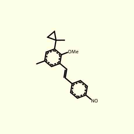 COc1c(/C=C/c2ccc(N=O)cc2)cc(C)cc1C1(C)CC1